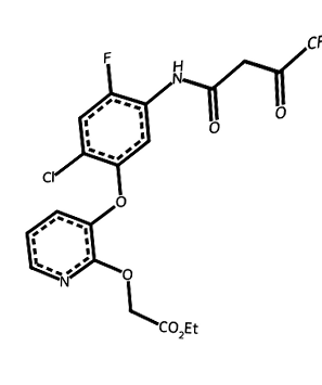 CCOC(=O)COc1ncccc1Oc1cc(NC(=O)CC(=O)C(F)(F)F)c(F)cc1Cl